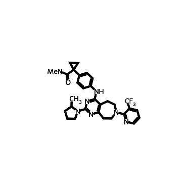 CNC(=O)C1(c2ccc(Nc3nc(N4CCCC4C)nc4c3CCN(c3ncccc3C(F)(F)F)CC4)cc2)CC1